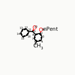 CCCCCOc1ccc(C)cc1C(=O)c1ccccc1